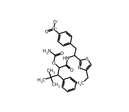 CCc1csc(C(Cc2ccc([N+](=O)[O-])cc2)NC(=O)C(OC(N)=O)C(c2ccccc2)C(C)(C)C)n1